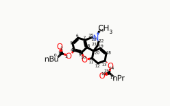 CCCCC(=O)Oc1ccc2c3c1OC1C[C@@H](OC(=O)CCC)C=CC31CCN(C)C2